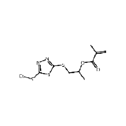 C=C(C)C(=O)OC(C)CSc1nnc(SCC)s1